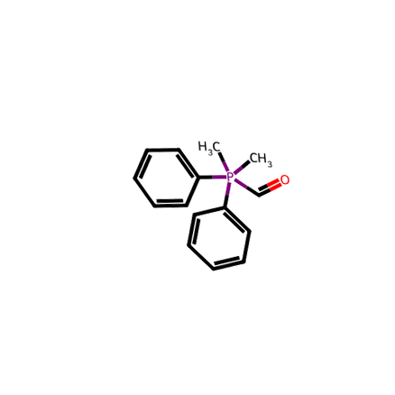 CP(C)(C=O)(c1ccccc1)c1ccccc1